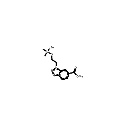 COC(=O)c1ccc2nnn(CCO[Si](C)(C)C(C)(C)C)c2c1